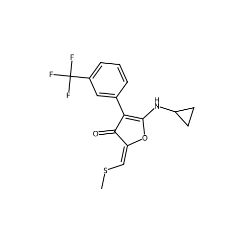 CSC=C1OC(NC2CC2)=C(c2cccc(C(F)(F)F)c2)C1=O